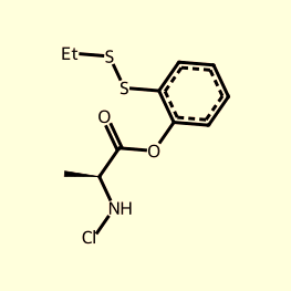 CCSSc1ccccc1OC(=O)[C@H](C)NCl